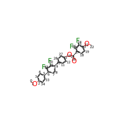 COc1ccc(-c2ccc(-c3ccc(OC(=O)c4ccc(OC)c(F)c4F)cc3)c(F)c2F)cc1